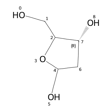 OCC1OC(O)C[C@H]1O